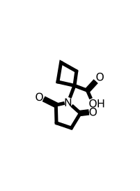 O=C1CCC(=O)N1C1(C(=O)O)CCC1